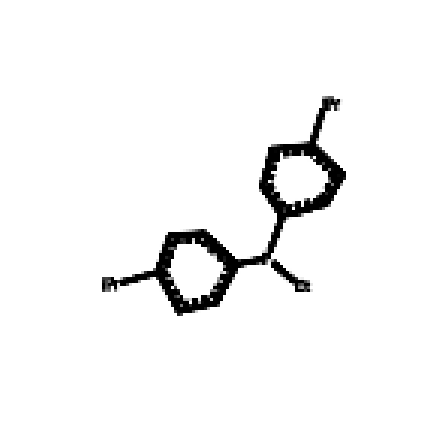 [CH2]CP(c1ccc(C(C)C)cc1)c1ccc(C(C)C)cc1